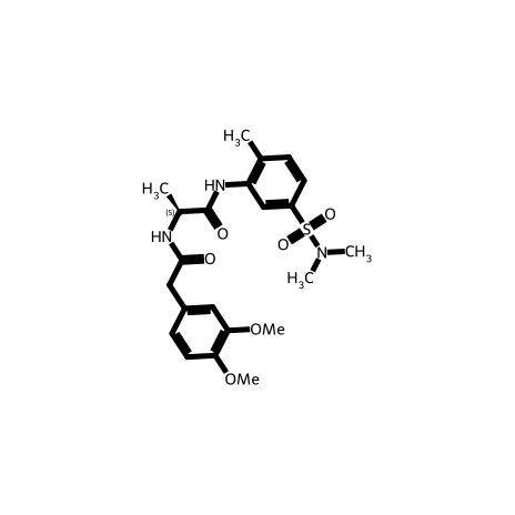 COc1ccc(CC(=O)N[C@@H](C)C(=O)Nc2cc(S(=O)(=O)N(C)C)ccc2C)cc1OC